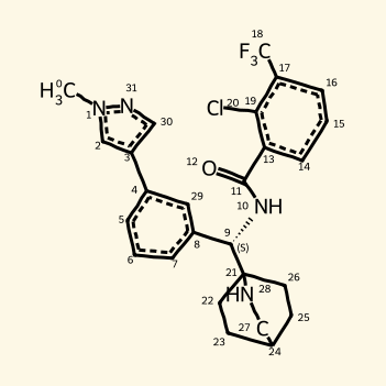 Cn1cc(-c2cccc([C@H](NC(=O)c3cccc(C(F)(F)F)c3Cl)C34CCC(CC3)CN4)c2)cn1